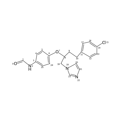 O=CNc1ccc(OC(CCc2ccc(Cl)cc2)Cn2ccnc2)cc1